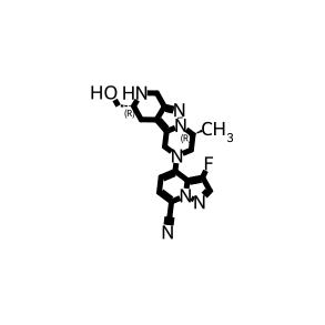 C[C@@H]1CN(c2ccc(C#N)n3ncc(F)c23)Cc2c3c(nn21)CN[C@@H](CO)C3